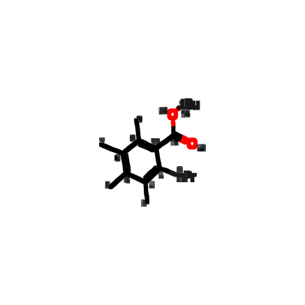 CCCc1c(C)c(C)c(C)c(C)c1C(=O)OC(C)(C)C